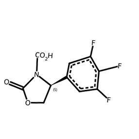 O=C(O)N1C(=O)OC[C@@H]1c1cc(F)c(F)c(F)c1